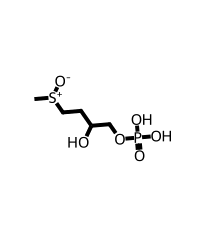 C[S+]([O-])CCC(O)COP(=O)(O)O